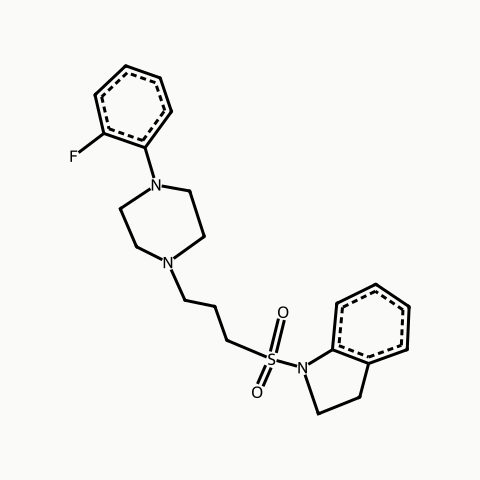 O=S(=O)(CCCN1CCN(c2ccccc2F)CC1)N1CCc2ccccc21